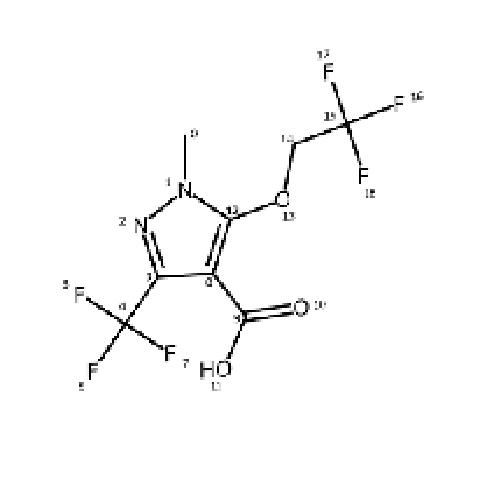 Cn1nc(C(F)(F)F)c(C(=O)O)c1OCC(F)(F)F